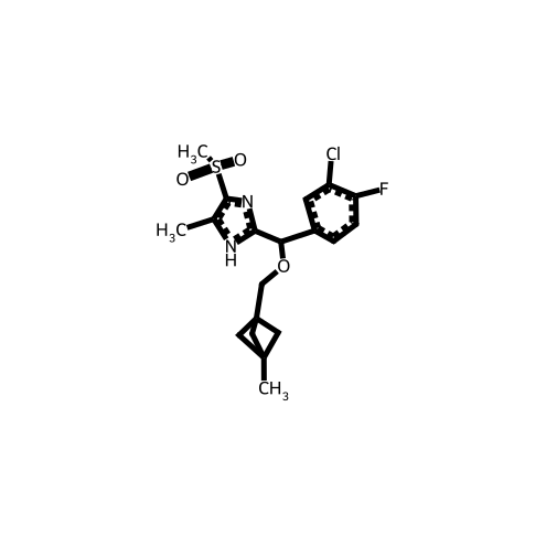 Cc1[nH]c(C(OCC23CC(C)(C2)C3)c2ccc(F)c(Cl)c2)nc1S(C)(=O)=O